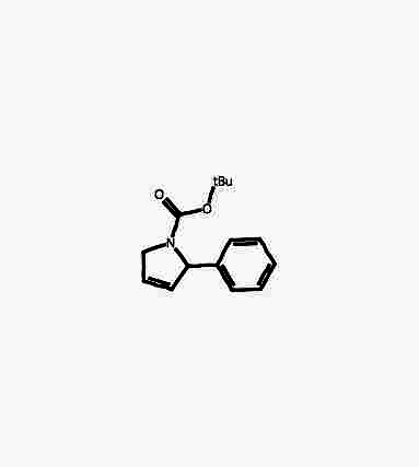 CC(C)(C)OC(=O)N1CC=CC1c1ccccc1